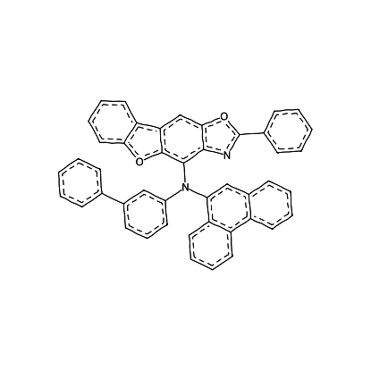 c1ccc(-c2cccc(N(c3cc4ccccc4c4ccccc34)c3c4nc(-c5ccccc5)oc4cc4c3oc3ccccc34)c2)cc1